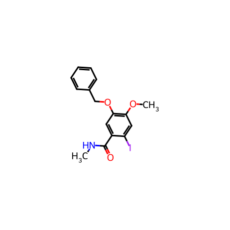 CNC(=O)c1cc(OCc2ccccc2)c(OC)cc1I